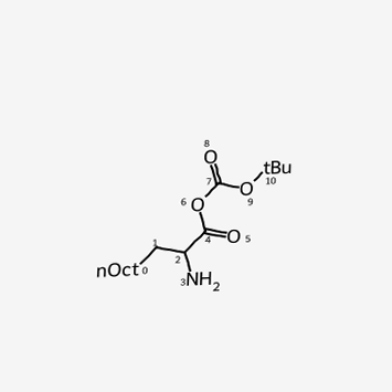 CCCCCCCCCC(N)C(=O)OC(=O)OC(C)(C)C